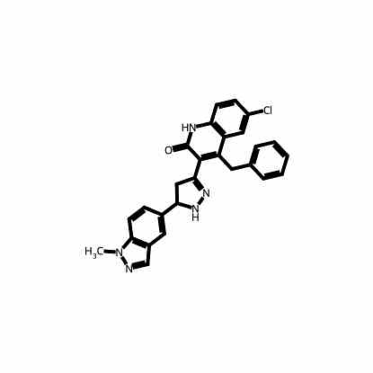 Cn1ncc2cc(C3CC(c4c(Cc5ccccc5)c5cc(Cl)ccc5[nH]c4=O)=NN3)ccc21